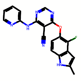 Cc1cc2c(F)c(Oc3ncnc(Nc4ccccn4)c3C#N)ccc2[nH]1